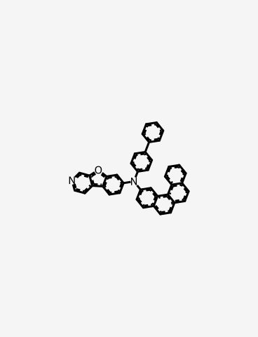 c1ccc(-c2ccc(N(c3ccc4c(c3)oc3cnccc34)c3ccc4ccc5ccc6ccccc6c5c4c3)cc2)cc1